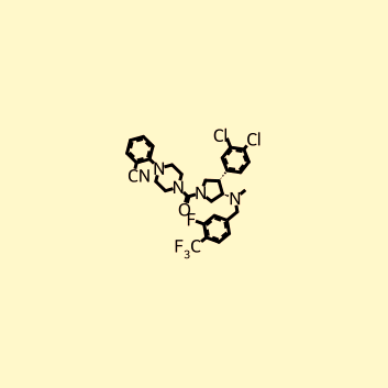 CN(Cc1ccc(C(F)(F)F)c(F)c1)[C@@H]1CN(C(=O)N2CCN(c3ccccc3C#N)CC2)C[C@@H]1c1ccc(Cl)c(Cl)c1